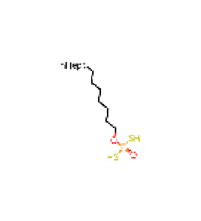 CCCCCCCCCCCCCCOP(=O)(S)S